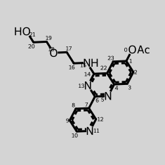 CC(=O)Oc1ccc2nc(-c3cccnc3)nc(NCCOCCO)c2c1